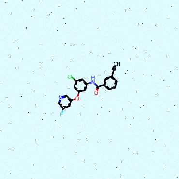 C#Cc1cccc(C(=O)Nc2cc(Cl)cc(Oc3cncc(F)c3)c2)c1